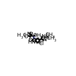 COc1cc(/C(O)=C2\C(=O)Nc3cc(Cl)c(-c4cnc(N(C)C)nc4)cc32)on1